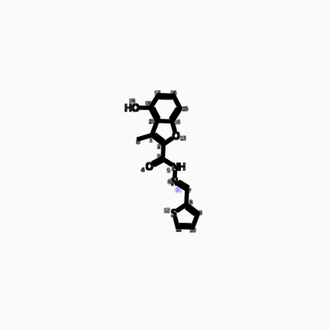 Cc1c(C(=O)N/N=C/c2cccs2)oc2cccc(O)c12